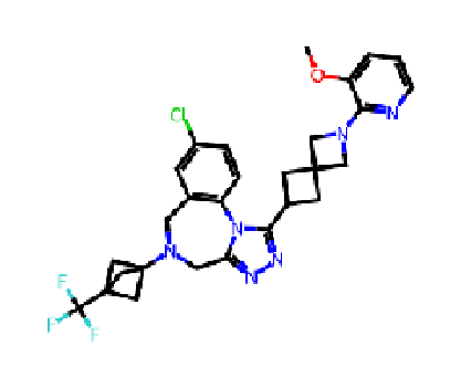 COc1cccnc1N1CC2(CC(c3nnc4n3-c3ccc(Cl)cc3CN(C35CC(C(F)(F)F)(C3)C5)C4)C2)C1